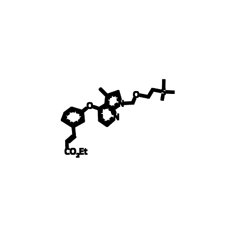 CCOC(=O)/C=C/c1cccc(Oc2ccnc3c2c(C)cn3COCCS(C)(C)C)c1